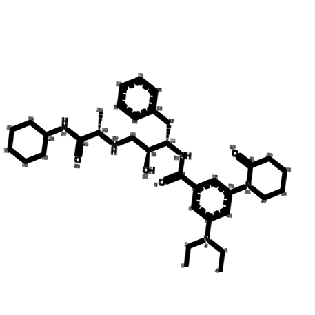 CCN(CC)c1cc(C(=O)N[C@@H](Cc2ccccc2)[C@@H](O)CN[C@@H](C)C(=O)NC2CCCCC2)cc(N2CCCCC2=O)c1